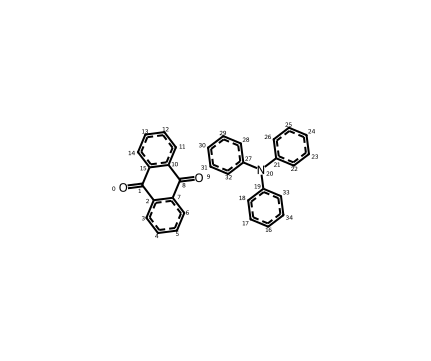 O=C1c2ccccc2C(=O)c2ccccc21.c1ccc(N(c2ccccc2)c2ccccc2)cc1